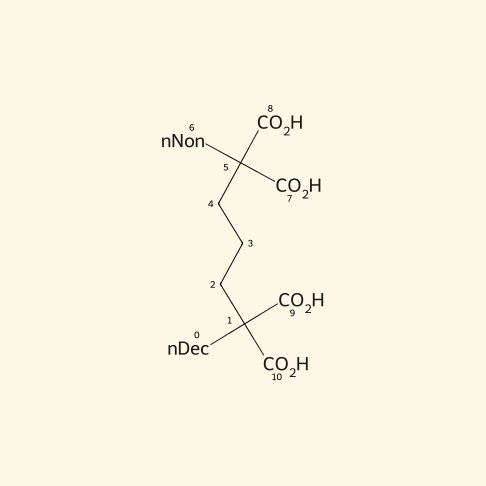 CCCCCCCCCCC(CCCC(CCCCCCCCC)(C(=O)O)C(=O)O)(C(=O)O)C(=O)O